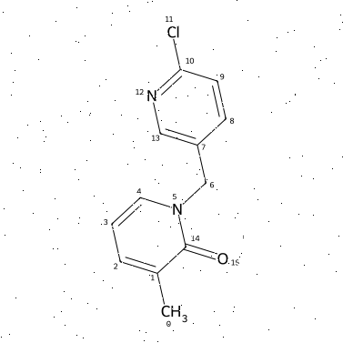 Cc1cccn(Cc2ccc(Cl)nc2)c1=O